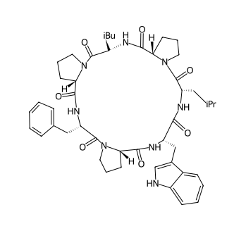 CC[C@H](C)[C@@H]1NC(=O)[C@@H]2CCCN2C(=O)[C@H](CC(C)C)NC(=O)[C@H](Cc2c[nH]c3ccccc23)NC(=O)[C@@H]2CCCN2C(=O)[C@H](Cc2ccccc2)NC(=O)[C@@H]2CCCN2C1=O